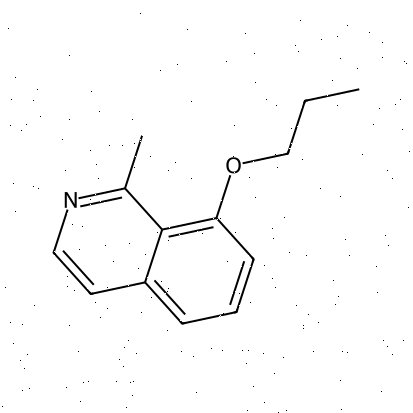 CCCOc1cccc2ccnc(C)c12